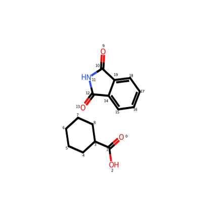 O=C(O)C1CCCCC1.O=C1NC(=O)c2ccccc21